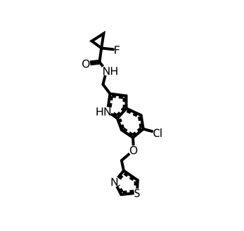 O=C(NCc1cc2cc(Cl)c(OCc3cscn3)cc2[nH]1)C1(F)CC1